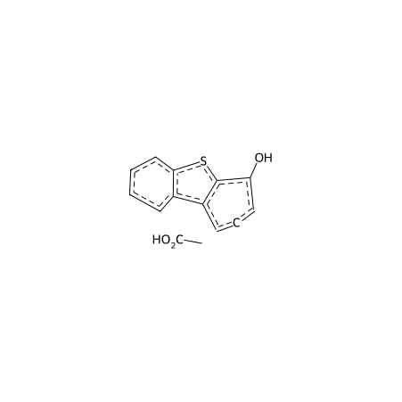 CC(=O)O.Oc1cccc2c1sc1ccccc12